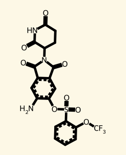 Nc1cc2c(cc1OS(=O)(=O)c1ccccc1OC(F)(F)F)C(=O)N(C1CCC(=O)NC1=O)C2=O